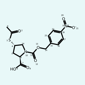 CC(=O)S[C@H]1C[C@H](C(=O)O)N(C(=O)OCc2ccc([N+](=O)[O-])cc2)C1